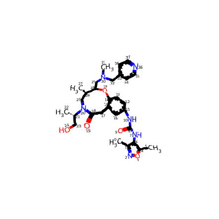 Cc1noc(C)c1NC(=O)Nc1ccc2c(c1)CC(=O)N([C@@H](C)CO)C[C@@H](C)C(CN(C)Cc1ccncc1)O2